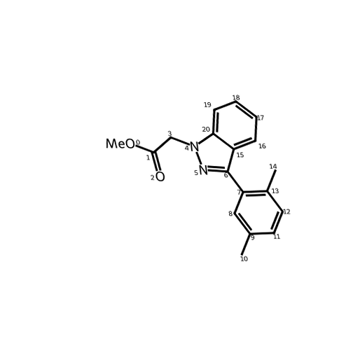 COC(=O)Cn1nc(-c2cc(C)ccc2C)c2ccccc21